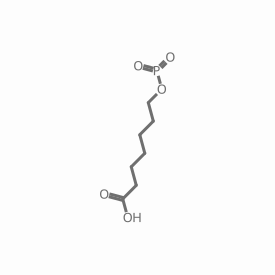 O=C(O)CCCCCCOP(=O)=O